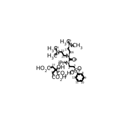 CC(C)N(CCS(=O)(=O)c1ccccc1)C(=O)N(CCN(C)C)CCN(C)C.O=C(O)CC(O)(CC(=O)O)C(=O)O